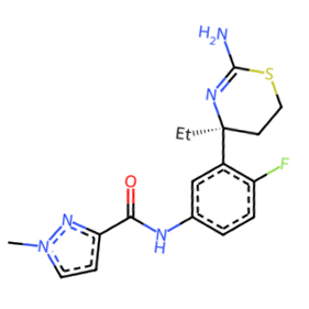 CC[C@@]1(c2cc(NC(=O)c3ccn(C)n3)ccc2F)CCSC(N)=N1